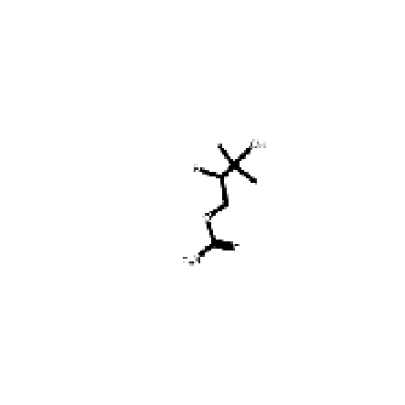 CC(C)(O)C(F)COC(N)=O